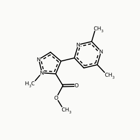 COC(=O)c1c(-c2cc(C)nc(C)n2)cnn1C